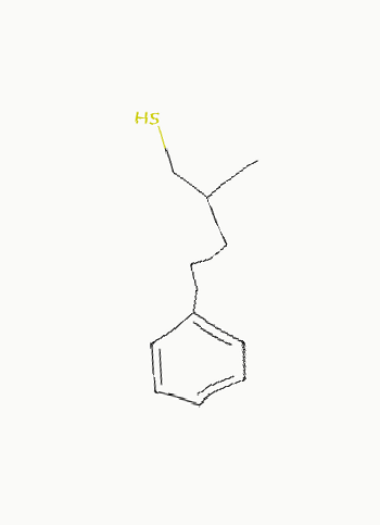 CC(CS)CCc1ccccc1